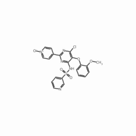 COc1ccccc1Oc1c(Cl)nc(-c2cc[n+]([O-])cc2)nc1NS(=O)(=O)c1cccnc1